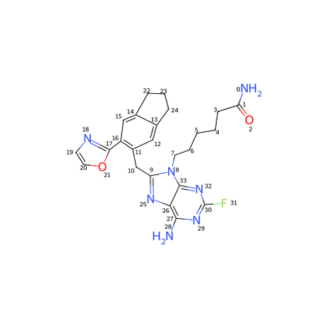 NC(=O)CCCCCn1c(Cc2cc3c(cc2-c2ncco2)CCC3)nc2c(N)nc(F)nc21